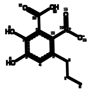 CCCc1cc(O)c(O)c(C(=O)O)c1[N+](=O)[O-]